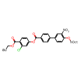 CCCCCCCCOc1ccc(-c2ccc(C(=O)Oc3ccc(C(=O)OCC(C)CC)c(Cl)c3)cc2)cc1[N+](=O)[O-]